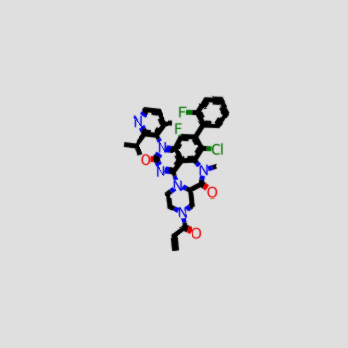 C=CC(=O)N1CCN2c3nc(=O)n(-c4c(C)ccnc4C(C)C)c4c(F)c(-c5ccccc5F)c(Cl)c(c34)N(C)C(=O)C2C1